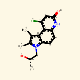 Cc1c(C)n(C[C@@H](O)C(F)(F)F)c2ccc3[nH]c(=O)cc(Cl)c3c12